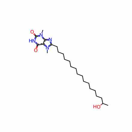 CC(O)CCCCCCCCCCCCCCCc1nc2c(c(=O)[nH]c(=O)n2C)n1C